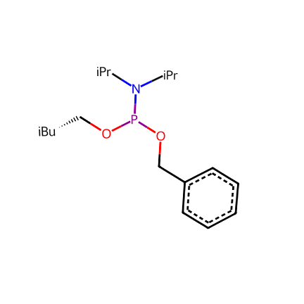 CC[C@@H](C)COP(OCc1ccccc1)N(C(C)C)C(C)C